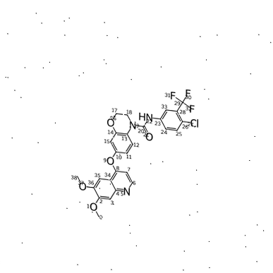 COc1cc2nccc(Oc3ccc4c(c3)OCCN4C(=O)Nc3ccc(Cl)c(C(F)(F)F)c3)c2cc1OC